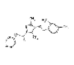 Cc1ccc(CON2C(C(F)(F)F)C(C(=O)Nc3ccccc3)=CN2C)c(C)c1